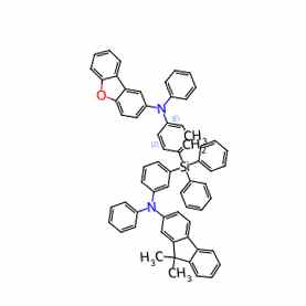 C=C(/C=C\C(=C/C)N(c1ccccc1)c1ccc2oc3ccccc3c2c1)[Si](c1ccccc1)(c1ccccc1)c1cccc(N(c2ccccc2)c2ccc3c(c2)C(C)(C)c2ccccc2-3)c1